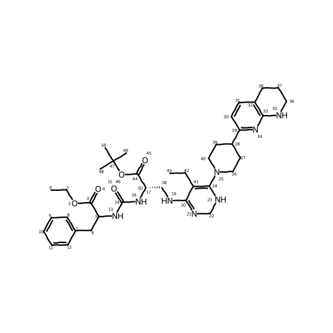 CCOC(=O)C(Cc1ccccc1)NC(=O)N[C@@H](CNC1=NCNC(N2CCC(c3ccc4c(n3)NCCC4)CC2)=C1CC)C(=O)OC(C)(C)C